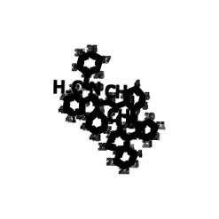 C=C(c1ccccc1Cc1ccccc1-c1c(C)ccc2ccccc12)[C@@H](C)/C(=C(\N=C(/C)c1ccccc1)c1ccccc1)c1ccccc1